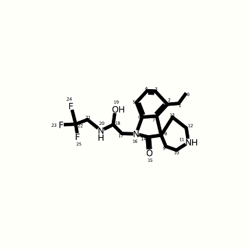 CCc1cccc2c1C1(CCNCC1)C(=O)N2CC(O)NCC(F)(F)F